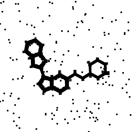 c1ccc2oc(-c3cnc4ccc(OCC5CNCCO5)nn34)cc2c1